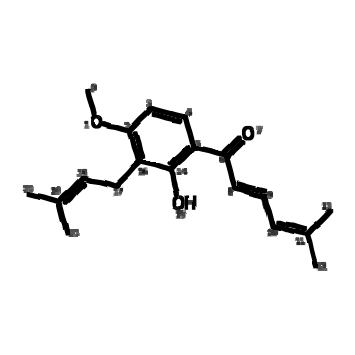 COc1ccc(C(=O)/C=C/C=C(C)C)c(O)c1CC=C(C)C